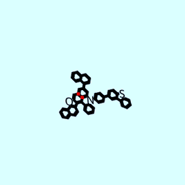 c1cc(-c2cccc3ccccc23)cc(N(c2ccc(-c3ccc4sc5ccccc5c4c3)cc2)c2ccccc2-c2cccc3oc4c5ccccc5ccc4c23)c1